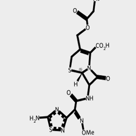 CON=C(C(=O)NC1C(=O)N2C(C(=O)O)=C(COC(=O)CC(C)=O)CS[C@@H]12)c1nsc(N)n1